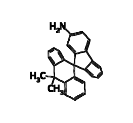 CC1(C)c2ccccc2C2(c3ccccc3-c3ccc(N)cc32)c2ccccc21